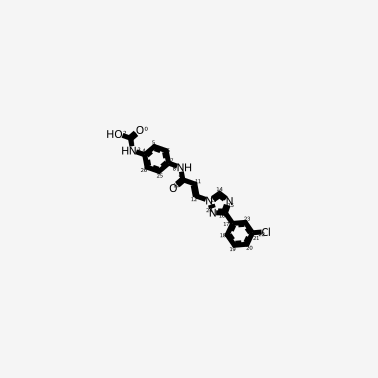 O=C(O)Nc1ccc(NC(=O)C=Cn2cnc(-c3cccc(Cl)c3)n2)cc1